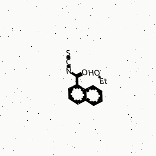 CCO.O=C(N=C=S)c1cccc2ccccc12